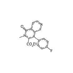 CCOC(=O)c1c(-c2ccc(F)cc2)c2cnccc2c(=O)n1C